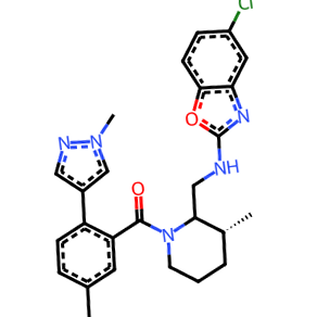 Cc1ccc(-c2cnn(C)c2)c(C(=O)N2CCC[C@@H](C)C2CNc2nc3cc(Cl)ccc3o2)c1